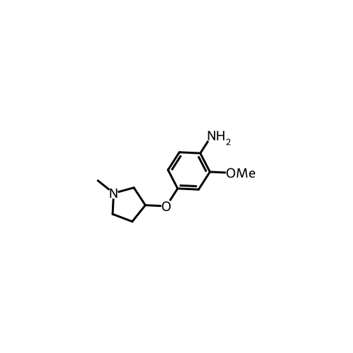 COc1cc(OC2CCN(C)C2)ccc1N